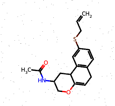 C=CCSc1ccc2c(c1)C1CC(NC(C)=O)COC1=CC2